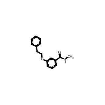 CNC(=O)c1cccc(OCCc2ccccc2)c1